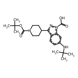 CC(C)(C)Nc1ccc2c(C3CCN(C(=O)OC(C)(C)C)CC3)nn(C(=O)O)c2c1